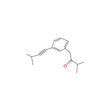 CC(C)C#Cc1cccc(CC(=O)C(C)C)c1